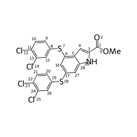 COC(=O)c1cc2c(Sc3ccc(Cl)c(Cl)c3)cc(Sc3ccc(Cl)c(Cl)c3)cc2[nH]1